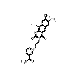 CCCCn1c2nc(=O)n(CCC[n+]3cccc(C(N)=O)c3)c(=O)c-2nc2cc(C)c(C)cc21